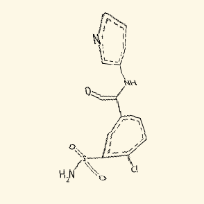 NS(=O)(=O)c1cc(C(=O)Nc2cccnc2)ccc1Cl